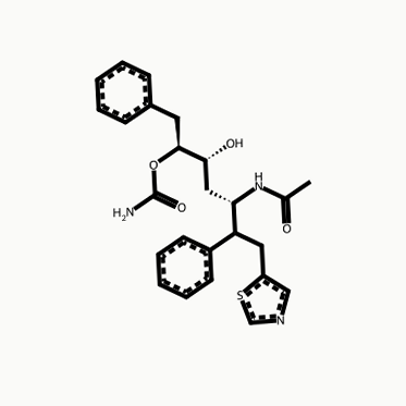 CC(=O)N[C@@H](C[C@@H](O)[C@H](Cc1ccccc1)OC(N)=O)C(Cc1cncs1)c1ccccc1